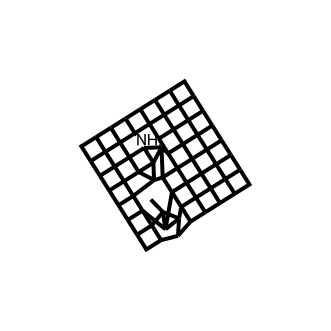 CC12C34C5CC3C3C6C7C8C9CC%10C%11C%12C%13C%14C%15CC%16C%17C%18C%19C%20C%21CC%22C%23C%24C%25C5C45C%254C%24%25C%23%24C%21%22C%20%21C%19(N)C%18%19C%18C%20%22C%17%19C%16%15C%14%20C%13%14C%12%13C%11%12C%109C89C78C67C31C25C71C23C5(C6C%21%24C%257C65C472)C%182C%22%14C%134C%129C81C243